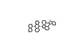 c1ccc2c(-c3c4ccccc4c(-c4cc5cccc6c7c8ccccc8sc7c7cccc4c7c56)c4ccccc34)cccc2c1